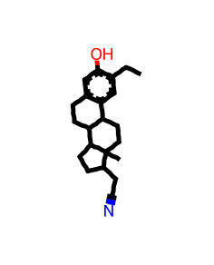 CCc1cc2c(cc1O)CCC1C2CCC2(C)C(CC#N)CCC12